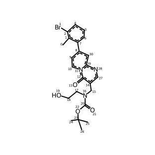 Cc1c(Br)cccc1-c1ccn2c(=O)c(CN(CCO)C(=O)OC(C)(C)C)cnc2c1